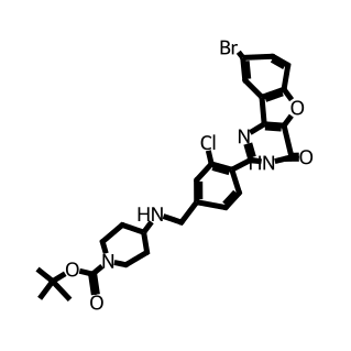 CC(C)(C)OC(=O)N1CCC(NCc2ccc(-c3nc4c(oc5ccc(Br)cc54)c(=O)[nH]3)c(Cl)c2)CC1